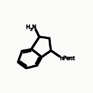 CCCCCC1CC(N)c2ccccc21